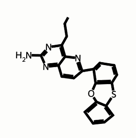 CCCc1nc(N)nc2ccc(-c3cccc4c3Oc3ccccc3S4)nc12